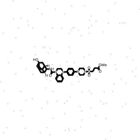 COC(=O)CCS(=O)(=O)N1CCN(c2ccc(N3CCN(C(=O)NC4[C@@H]5CC6C[C@H]4CC(O)(C6)C5)c4ccccc43)cc2)CC1